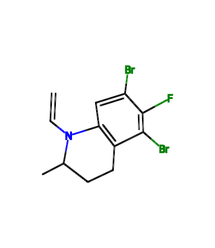 C=CN1c2cc(Br)c(F)c(Br)c2CCC1C